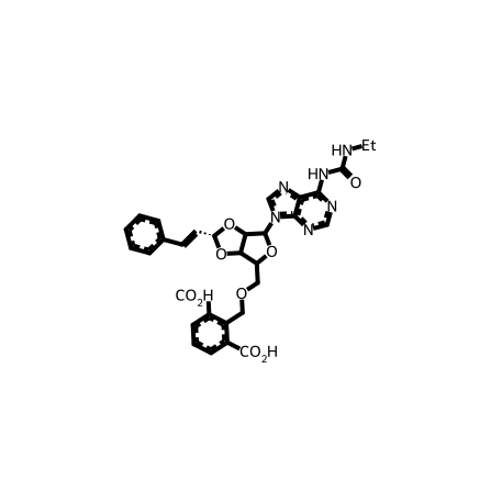 CCNC(=O)Nc1ncnc2c1ncn2C1OC(COCc2c(C(=O)O)cccc2C(=O)O)C2O[C@H](/C=C/c3ccccc3)OC21